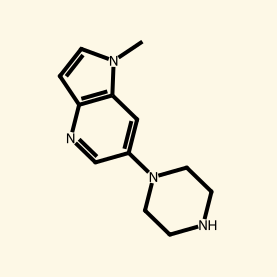 Cn1ccc2ncc(N3CCNCC3)cc21